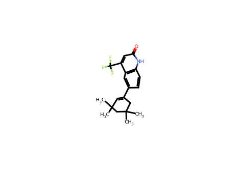 CC1(C)C=C(c2ccc3[nH]c(=O)cc(C(F)(F)F)c3c2)CC(C)(C)C1